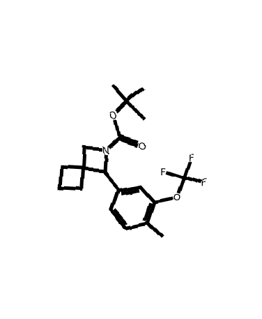 Cc1ccc(C2N(C(=O)OC(C)(C)C)CC23CCC3)cc1OC(F)(F)F